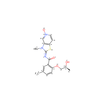 CCCCn1/c(=N/C(=O)c2cc(C(F)(F)F)ccc2OC[C@H](C)O)sc2cc[n+]([O-])cc21